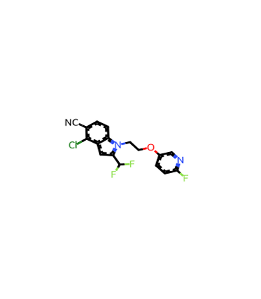 N#Cc1ccc2c(cc(C(F)F)n2CCOc2ccc(F)nc2)c1Cl